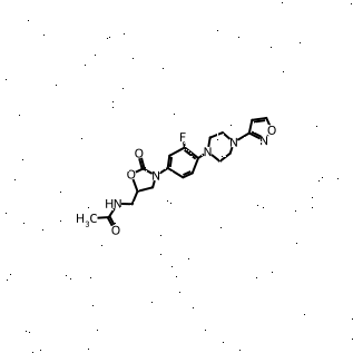 CC(=O)NCC1CN(c2ccc(N3CCN(c4ccon4)CC3)c(F)c2)C(=O)O1